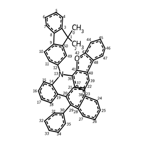 CC1(C)c2ccccc2-c2ccc(N(c3ccccc3-c3ccc4ccccc4c3-c3ccccc3)c3cccc4c3oc3ccccc34)cc21